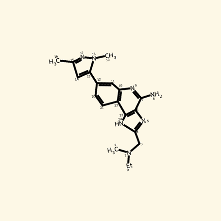 CCN(C)Cc1nc2c(N)nc3cc(-c4cc(C)nn4C)ccc3c2[nH]1